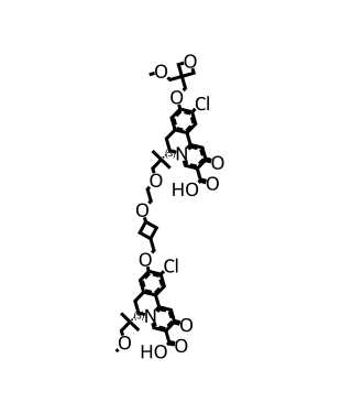 COCC1(COc2cc3c(cc2Cl)-c2cc(=O)c(C(=O)O)cn2[C@H](C(C)(C)COCCOC2CC(COc4cc5c(cc4Cl)-c4cc(=O)c(C(=O)O)cn4[C@H](C(C)(C)COC)C5)C2)C3)COC1